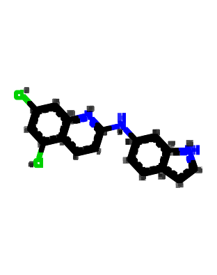 Clc1cc(Cl)c2ccc(Nc3ccc4cc[nH]c4c3)nc2c1